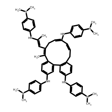 C/C(=C\C1=C(/C)c2ccc(Nc3ccc(N(C)C)cc3)cc2-c2cc(Nc3ccc(N(C)C)cc3)ccc2C/C=C\C(Nc2ccc(N(C)C)cc2)=C/C1)Nc1ccc(N(C)C)cc1